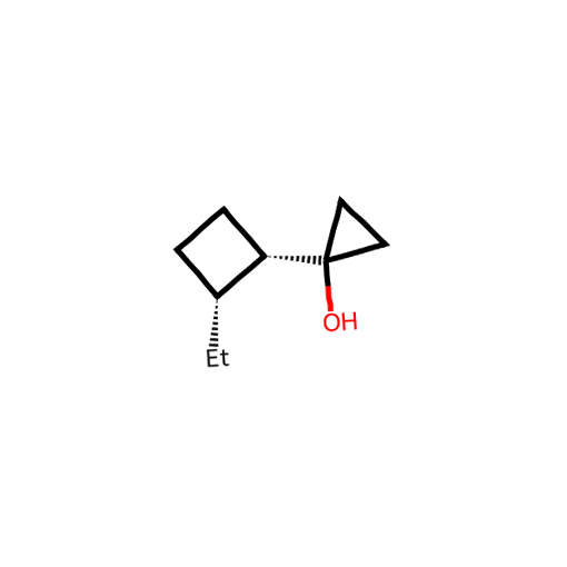 CC[C@@H]1CC[C@@H]1C1(O)CC1